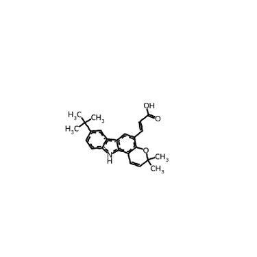 CC1(C)C=Cc2c(c(/C=C/C(=O)O)cc3c2[nH]c2ccc(C(C)(C)C)cc23)O1